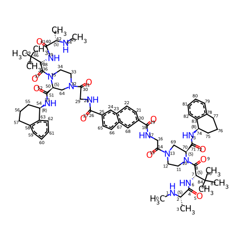 CN[C@@H](C)C(=O)N[C@H](C(=O)N1CCN(C(=O)CNC(=O)c2ccc3cc(C(=O)NCC(=O)N4CCN(C(=O)[C@@H](NC(=O)[C@H](C)NC)C(C)(C)C)[C@H](C(=O)N[C@@H]5CCCc6ccccc65)C4)ccc3c2)C[C@H]1C(=O)N[C@@H]1CCCc2ccccc21)C(C)(C)C